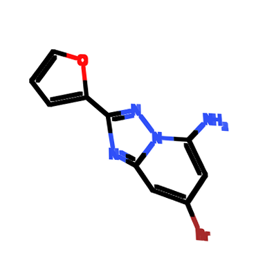 Nc1cc(Br)cc2nc(-c3ccco3)nn12